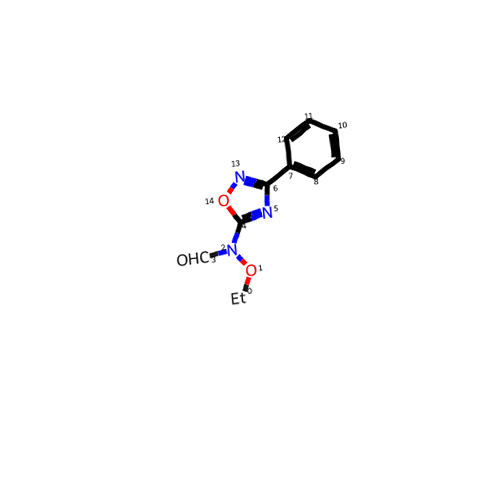 CCON(C=O)c1nc(-c2ccccc2)no1